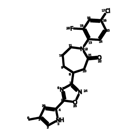 Cc1c[nH]c(-c2nc(C3CCCN(c4ccc(Cl)cc4F)C(=O)C3)no2)c1